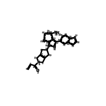 C=CC(=O)N1CC2=C(CC(n3nc(-c4ccc5sccc5c4)c4c(N)ncnc43)C2)C1